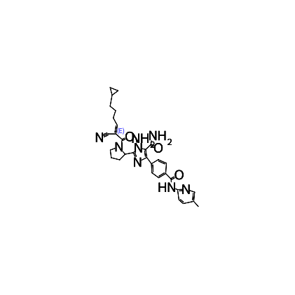 Cc1ccc(NC(=O)c2ccc(-c3nc(C4CCCN4C(=O)/C(C#N)=C/CCCC4CC4)n(N)c3C(N)=O)cc2)nc1